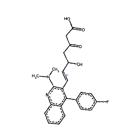 CN(C)c1nc2ccccc2c(-c2ccc(F)cc2)c1/C=C/C(O)CC(=O)CC(=O)O